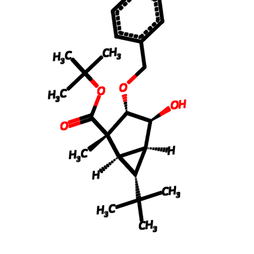 CC(C)(C)OC(=O)[C@@]1(C)[C@H]2[C@@H]([C@H](O)[C@H]1OCc1ccccc1)[C@@H]2C(C)(C)C